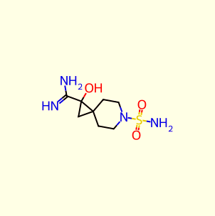 N=C(N)C1(O)CC12CCN(S(N)(=O)=O)CC2